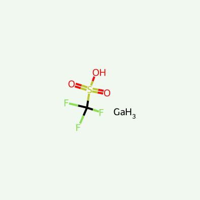 O=S(=O)(O)C(F)(F)F.[GaH3]